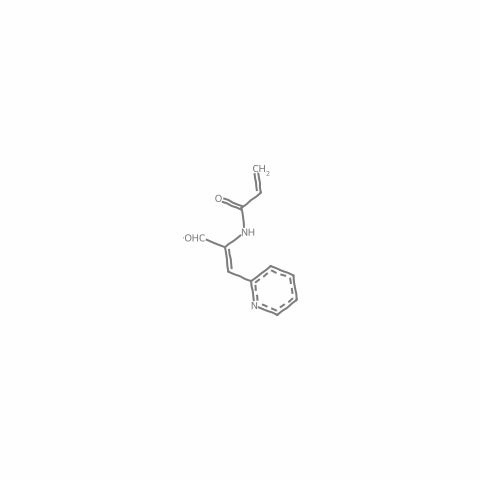 C=CC(=O)NC([C]=O)=Cc1ccccn1